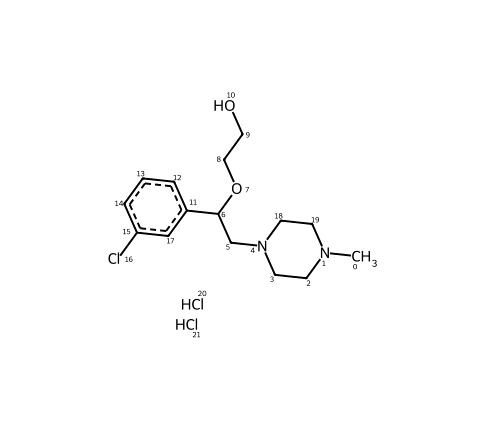 CN1CCN(CC(OCCO)c2cccc(Cl)c2)CC1.Cl.Cl